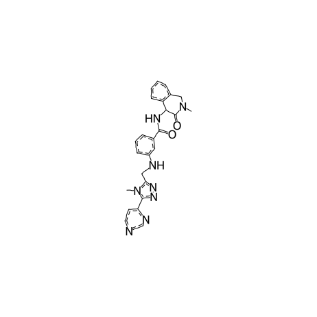 CN1Cc2ccccc2C(NC(=O)c2cccc(NCc3nnc(-c4ccncn4)n3C)c2)C1=O